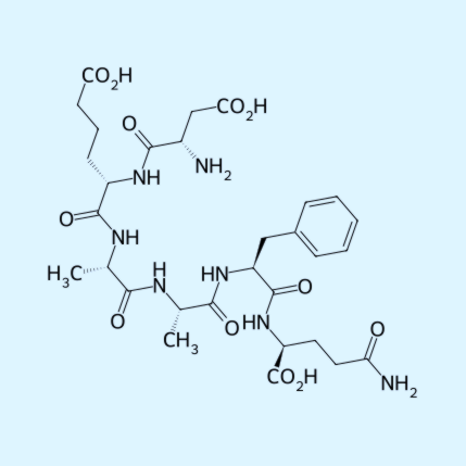 C[C@H](NC(=O)[C@H](C)NC(=O)[C@H](CCCC(=O)O)NC(=O)[C@@H](N)CC(=O)O)C(=O)N[C@@H](Cc1ccccc1)C(=O)N[C@@H](CCC(N)=O)C(=O)O